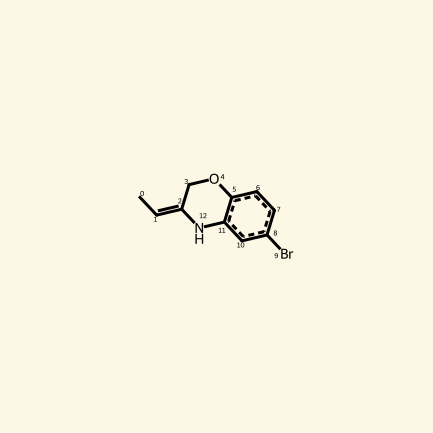 CC=C1COc2ccc(Br)cc2N1